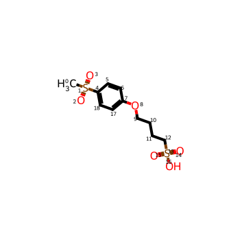 CS(=O)(=O)c1ccc(OCCCCS(=O)(=O)O)cc1